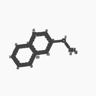 NOc1cnc2ccccc2c1